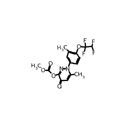 COC(=O)Oc1nn(-c2ccc(OC(F)(F)C(F)F)c(C)c2)c(C)cc1=O